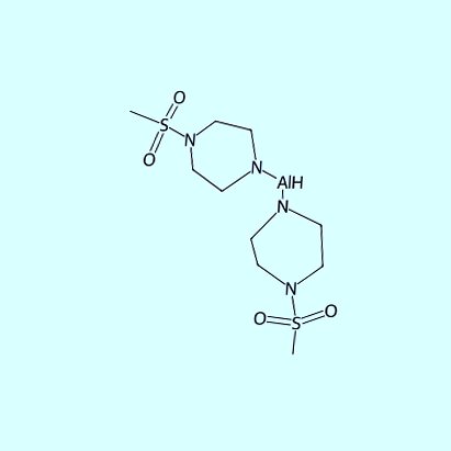 CS(=O)(=O)N1CC[N]([AlH][N]2CCN(S(C)(=O)=O)CC2)CC1